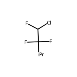 CC(C)C(F)(F)C(F)Cl